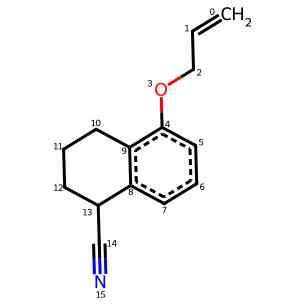 C=CCOc1cccc2c1CCCC2C#N